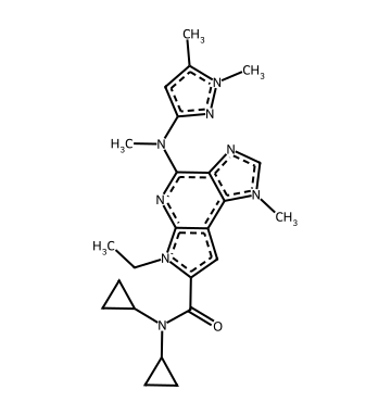 CCn1c(C(=O)N(C2CC2)C2CC2)cc2c3c(ncn3C)c(N(C)c3cc(C)n(C)n3)nc21